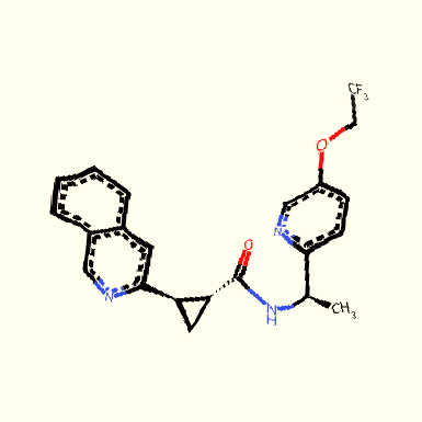 C[C@@H](NC(=O)[C@@H]1C[C@H]1c1cc2ccccc2cn1)c1ccc(OCC(F)(F)F)cn1